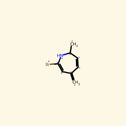 C=C1C=CC(C)NC(Br)=C1